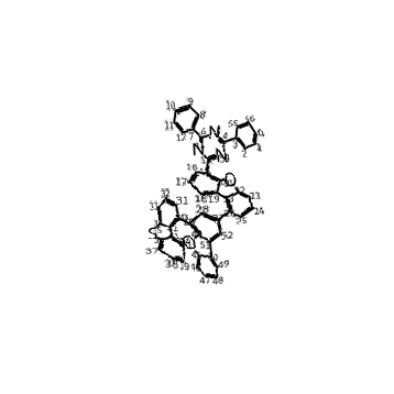 c1ccc(-c2nc(-c3ccccc3)nc(-c3cccc4c3oc3cccc(-c5cc(-c6cccc7sc8ccccc8c67)c6oc7ccccc7c6c5)c34)n2)cc1